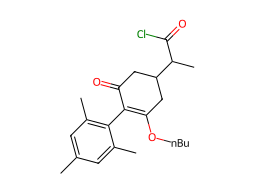 CCCCOC1=C(c2c(C)cc(C)cc2C)C(=O)CC(C(C)C(=O)Cl)C1